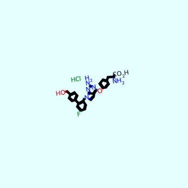 Cl.Nc1nc(Oc2ccc(CC(N)C(=O)O)cc2)c2ccn(Cc3ccc(F)cc3-c3ccc(CO)cc3)c2n1